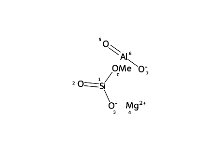 CO[Si](=O)[O-].[Mg+2].[O]=[Al][O-]